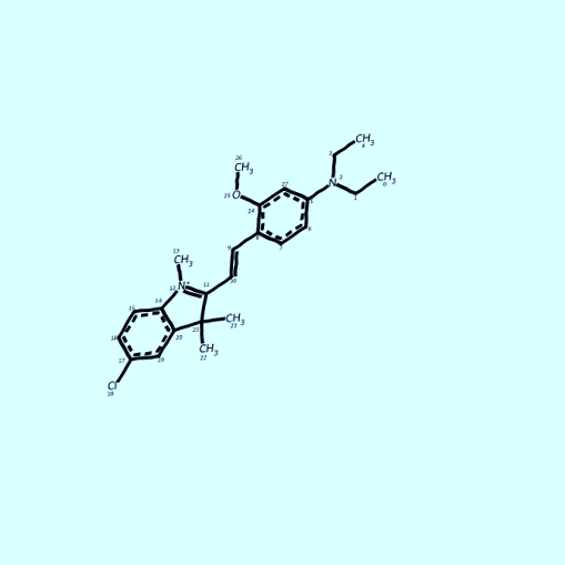 CCN(CC)c1ccc(/C=C/C2=[N+](C)c3ccc(Cl)cc3C2(C)C)c(OC)c1